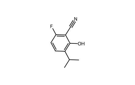 CC(C)c1ccc(F)c(C#N)c1O